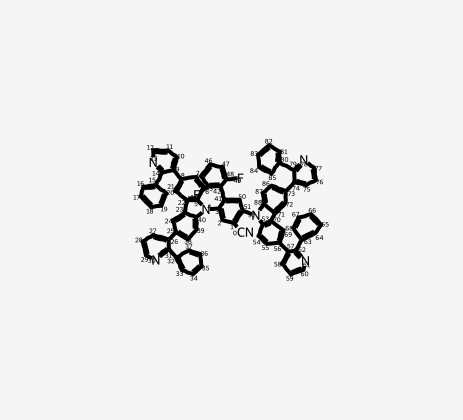 N#Cc1cc(-n2c3ccc(-c4cccnc4-c4ccccc4)cc3c3cc(-c4cccnc4-c4ccccc4)ccc32)c(-c2c(F)cccc2F)cc1-n1c2ccc(-c3cccnc3-c3ccccc3)cc2c2cc(-c3cccnc3-c3ccccc3)ccc21